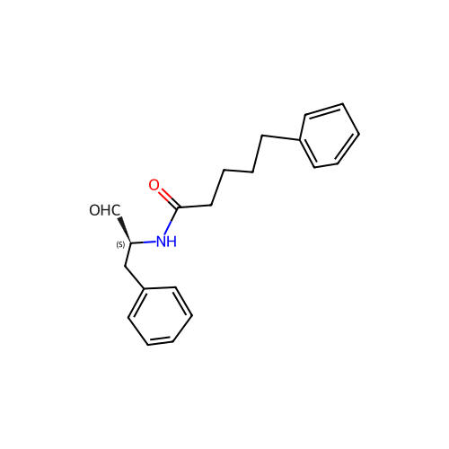 O=C[C@H](Cc1ccccc1)NC(=O)CCCCc1ccccc1